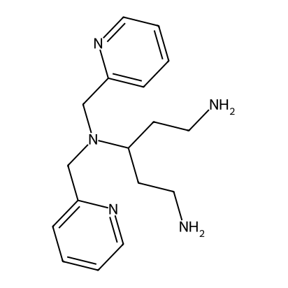 NCCC(CCN)N(Cc1ccccn1)Cc1ccccn1